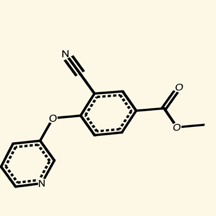 COC(=O)c1ccc(Oc2cccnc2)c(C#N)c1